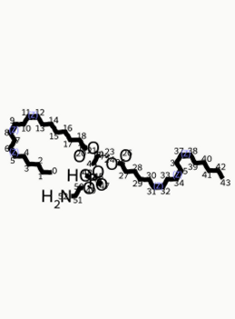 CCCCC/C=C\C/C=C\C/C=C\CCCCCCC(=O)O[C@H](COC(=O)CCCC/C=C\C/C=C\C/C=C\CCCCC)COP(=O)(O)OCCN